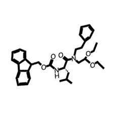 CCOC(CN(CCc1ccccc1)C(=O)[C@H](CC(C)C)NC(=O)OCC1c2ccccc2-c2ccccc21)OCC